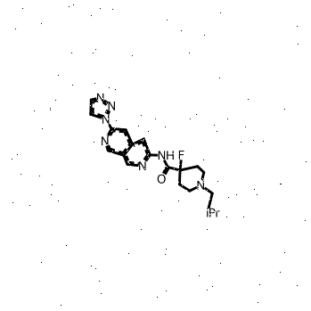 CC(C)CN1CCC(F)(C(=O)Nc2cc3cc(-n4ccnn4)ncc3cn2)CC1